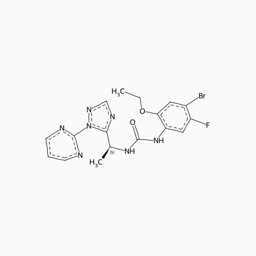 CCOc1cc(Br)c(F)cc1NC(=O)N[C@@H](C)c1ncnn1-c1ncccn1